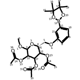 COC1O[C@H](COc2cccc(B3OC(C)(C)C(C)(C)O3)c2)C(OC(C)=O)C(OC(C)=O)C1OC(C)=O